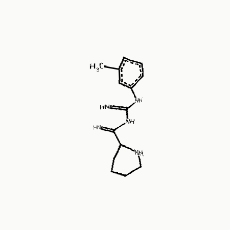 Cc1cccc(NC(=N)NC(=N)C2CCCCN2)c1